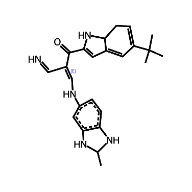 CC1Nc2ccc(N/C=C(\C=N)C(=O)C3=CC4=CC(C(C)(C)C)=CCC4N3)cc2N1